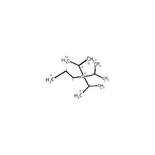 [CH2]CC[Si](C(C)C)(C(C)C)C(C)C